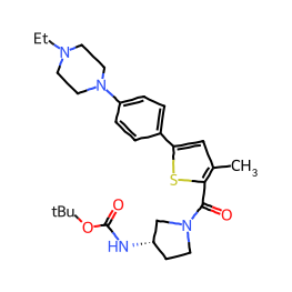 CCN1CCN(c2ccc(-c3cc(C)c(C(=O)N4CC[C@H](NC(=O)OC(C)(C)C)C4)s3)cc2)CC1